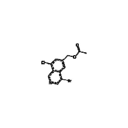 CC(=O)OCc1cc(Cl)c2cncc(Br)c2c1